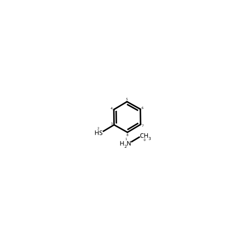 CN.Sc1ccccc1